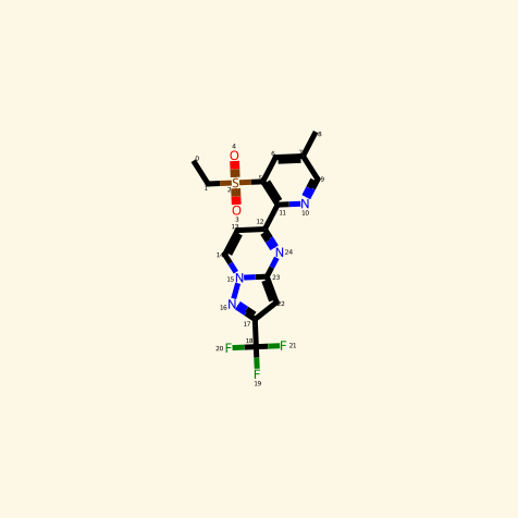 CCS(=O)(=O)c1cc(C)cnc1-c1ccn2nc(C(F)(F)F)cc2n1